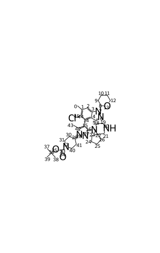 Cc1cc2c(cnn2C2CCCCO2)c(-c2c(N3CCNCC34CCCC4)nn(C3CCN(C(=O)OC(C)(C)C)CC3)c2C)c1Cl